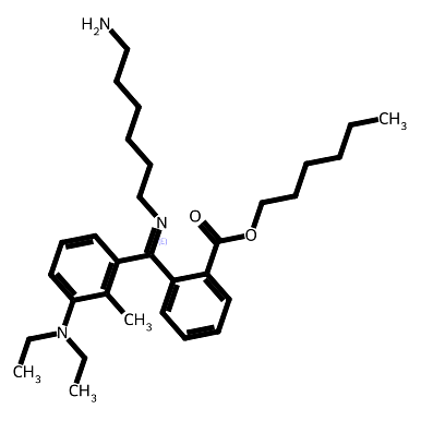 CCCCCCOC(=O)c1ccccc1/C(=N/CCCCCCN)c1cccc(N(CC)CC)c1C